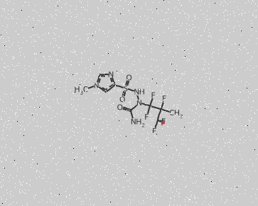 Cn1cnc(S(=O)(=O)NN(C(N)=O)C(F)(F)C(C)(F)C(F)(F)F)c1